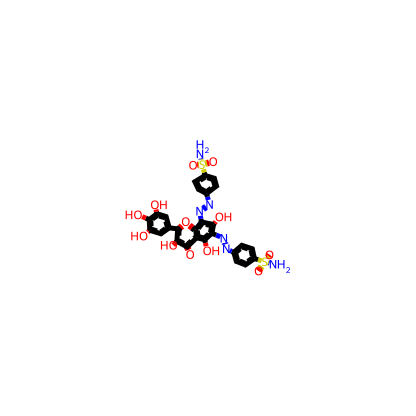 NS(=O)(=O)c1ccc(N=Nc2c(O)c(N=Nc3ccc(S(N)(=O)=O)cc3)c3oc(-c4cc(O)c(O)c(O)c4)c(O)c(=O)c3c2O)cc1